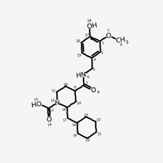 COc1cc(CNC(=O)C2CCN(C(=O)O)C(CC3CCCCC3)C2)ccc1O